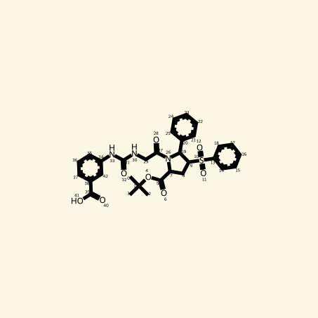 CC(C)(C)OC(=O)C1CC(S(=O)(=O)c2ccccc2)C(c2ccccc2)N1C(=O)CNC(=O)Nc1cccc(C(=O)O)c1